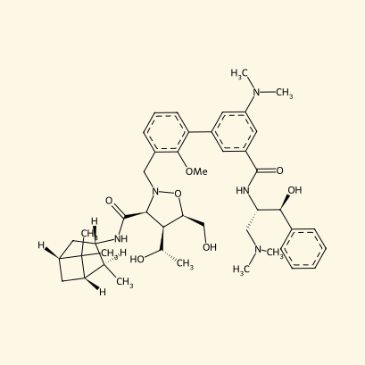 COc1c(CN2O[C@@H](CO)[C@@H]([C@H](C)O)[C@H]2C(=O)N[C@H]2C[C@H]3C[C@@H]([C@@H]2C)C3(C)C)cccc1-c1cc(C(=O)N[C@@H](CN(C)C)[C@@H](O)c2ccccc2)cc(N(C)C)c1